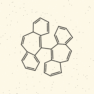 C1=CC2=C(C3=C4C=CC=CC4C=Cc4ccccc43)c3ccccc3C=CC2C=C1